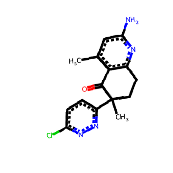 Cc1cc(N)nc2c1C(=O)C(C)(c1ccc(Cl)nn1)CC2